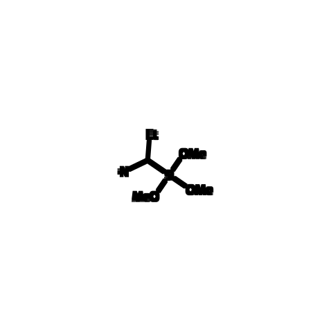 CCC([N])[Si](OC)(OC)OC